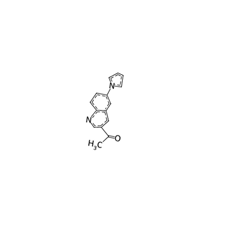 CC(=O)c1cnc2ccc(-n3cccc3)cc2c1